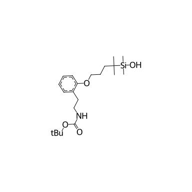 CC(C)(C)OC(=O)NCCc1ccccc1OCCCC(C)(C)[Si](C)(C)O